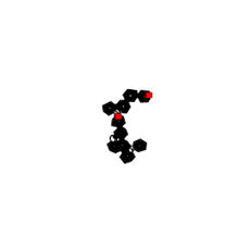 c1ccc(-c2cccc(-c3ccc4c(c3)c3ccccc3n4-c3ccc(-c4ccc5c(c4)Oc4cccc6c4c-5cc4c6c5ccccc5n4-c4ccccc4)cc3)c2)cc1